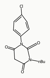 CCCCN1C(=O)CC(=O)N(c2ccc(Cl)cc2)C1=O